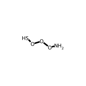 NOOOS